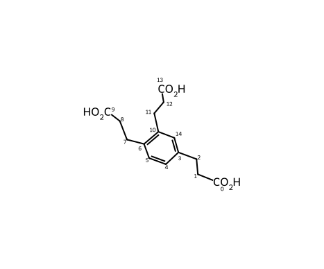 O=C(O)CCc1ccc(CCC(=O)O)c(CCC(=O)O)c1